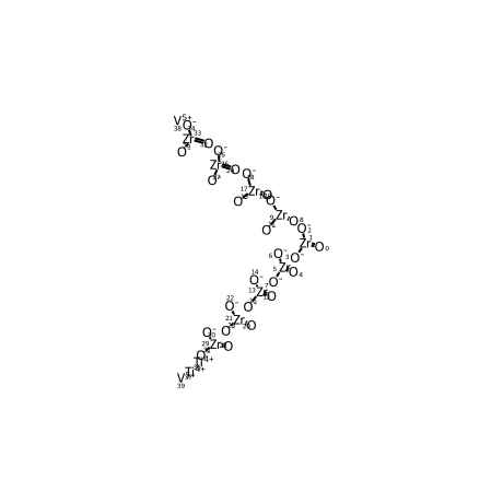 [O]=[Zr]([O-])[O-].[O]=[Zr]([O-])[O-].[O]=[Zr]([O-])[O-].[O]=[Zr]([O-])[O-].[O]=[Zr]([O-])[O-].[O]=[Zr]([O-])[O-].[O]=[Zr]([O-])[O-].[O]=[Zr]([O-])[O-].[O]=[Zr]([O-])[O-].[Ti+4].[Ti+4].[V+5].[V+5]